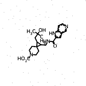 CC(C)(O)CC1C(CNC(=O)c2cc3cnccc3[nH]2)C12CCN(C(=O)O)CC2